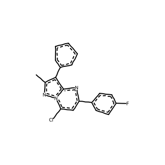 Cc1nn2c(Cl)cc(-c3ccc(F)cc3)nc2c1-c1ccccc1